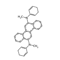 CN(C1=CCCC=C1)c1cc2c3ccccc3c(N(C)C3=CCCC=C3)cc2c2ccccc12